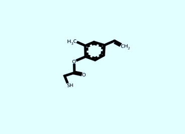 C=Cc1ccc(OC(=O)CS)c(C)c1